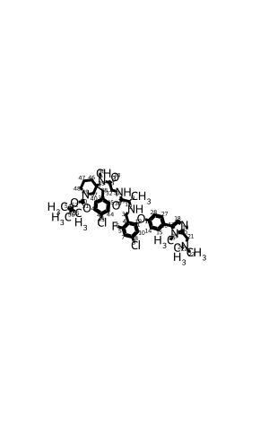 C[C@H](NCc1c(F)cc(Cl)cc1Oc1ccc(-c2cnc(CN(C)C)n2C)cc1)C(=O)NCC(=O)N(C)[C@@]1(Cc2ccc(Cl)cc2)CCCN(C(=O)OC(C)(C)C)C1